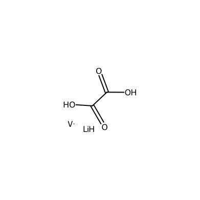 O=C(O)C(=O)O.[LiH].[V]